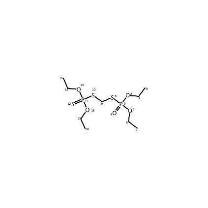 CCOP(=O)(OCC)SCSP(=S)(OCC)OCC